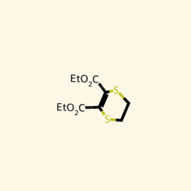 CCOC(=O)C1=C(C(=O)OCC)SCCS1